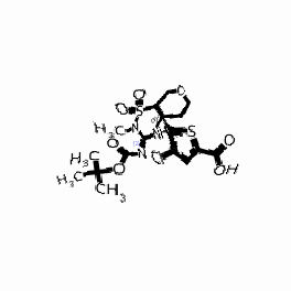 CN1/C(=N\C(=O)OC(C)(C)C)N[C@@]2(c3sc(C(=O)O)cc3Cl)CCOCC2S1(=O)=O